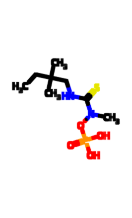 CCC(C)(C)CNC(=S)N(C)OP(=O)(O)O